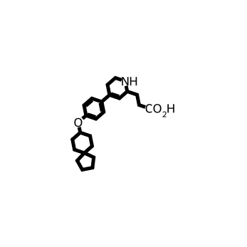 O=C(O)CCC1C=C(c2ccc(OC3CCC4(CCCC4)CC3)cc2)CCN1